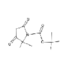 CC(C)(C)OC(=O)N1C(=O)CC(=O)C1(C)C